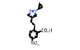 O=C(O)c1cc([N+](=O)[O-])ccc1CCc1cnn(C2CC2)c1